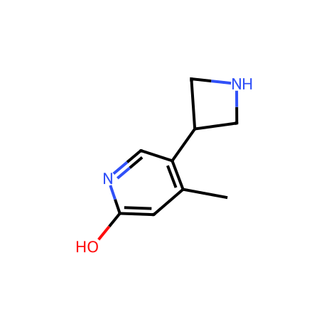 Cc1cc(O)ncc1C1CNC1